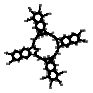 Fc1cc2cc3c(cc2cc1F)-c1nc-3nc2[nH]c(nc3nc(nc4[nH]c(n1)c1cc5c(F)c(F)c(F)c(F)c5cc41)-c1cc4cc(F)c(F)cc4cc1-3)c1cc3c(F)c(F)c(F)c(F)c3cc21